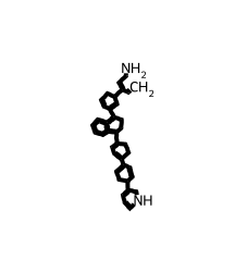 C=C/C(=C\CN)C1C=C(C2=c3ccccc3=C(C3=CC=C(C4=CCC(C5=CC=CNC5)C=C4)CC3)CC2)C=CC1